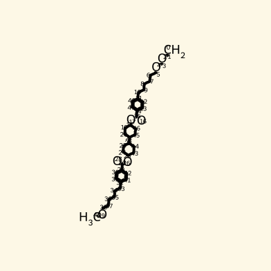 C=COCOCCCCCCc1ccc(C(=O)OC2CCC(C3CCC(OC(=O)c4ccc(CCCCCCOC)cc4)CC3)CC2)cc1